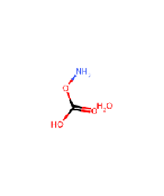 NOC(=O)O.O